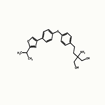 CC(C)c1nc(-c2ccc(Sc3ccc(CCC(N)(CO)CO)cc3)cc2)co1